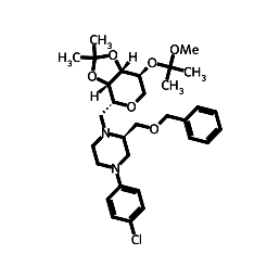 COC(C)(C)O[C@H]1CO[C@H](CN2CCN(c3ccc(Cl)cc3)C[C@@H]2COCc2ccccc2)[C@@H]2OC(C)(C)O[C@@H]21